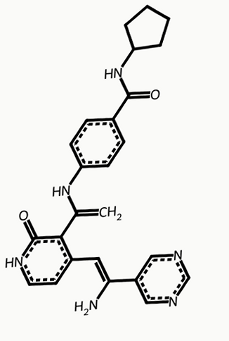 C=C(Nc1ccc(C(=O)NC2CCCC2)cc1)c1c(/C=C(\N)c2cncnc2)cc[nH]c1=O